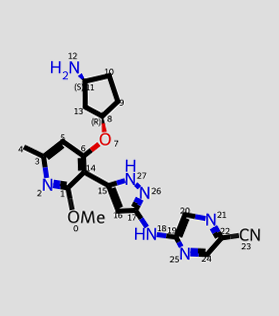 COc1nc(C)cc(O[C@@H]2CC[C@H](N)C2)c1-c1cc(Nc2cnc(C#N)cn2)n[nH]1